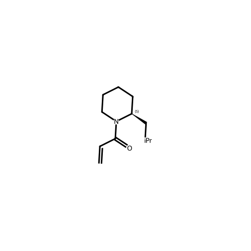 C=CC(=O)N1CCCC[C@H]1CC(C)C